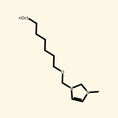 CCCCCCCCCCCCCCOCN1C=CN(C)C1